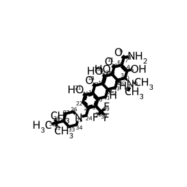 CN(C)[C@@H]1C(O)=C(C(N)=O)C(=O)[C@@]2(O)C(O)=C3C(=O)c4c(O)cc(CN5CCC(C(C)(C)C)CC5)c(C(F)(F)F)c4C[C@H]3C[C@@H]12